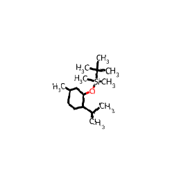 C[C](C)C1CCC(C)CC1O[Si](C)(C)C(C)(C)C